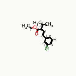 CCOC(=O)C(C=Cc1cccc(Cl)c1)C(C)C